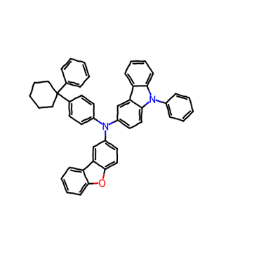 c1ccc(-n2c3ccccc3c3cc(N(c4ccc(C5(c6ccccc6)CCCCC5)cc4)c4ccc5oc6ccccc6c5c4)ccc32)cc1